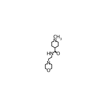 CN1CCC(C(=O)NCCN2CCOCC2)CC1